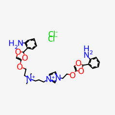 C[N+](C)(CCC[n+]1ccn(CCOC2=COC(c3ccccc3N)O2)c1)CCOC1=COC(c2ccccc2N)O1.[Cl-].[Cl-]